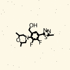 Cc1nnc(-c2cc(CO)c(N3CC(C)OC(C)C3)c(F)c2F)s1